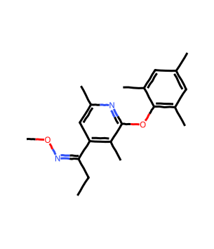 CC/C(=N/OC)c1cc(C)nc(Oc2c(C)cc(C)cc2C)c1C